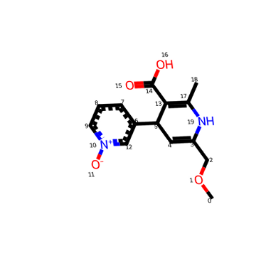 COCC1=CC(c2ccc[n+]([O-])c2)C(C(=O)O)=C(C)N1